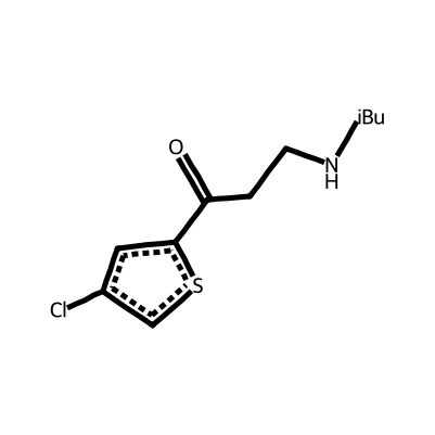 CCC(C)NCCC(=O)c1cc(Cl)cs1